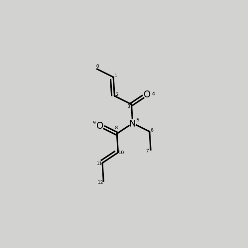 CC=CC(=O)N(CC)C(=O)C=CC